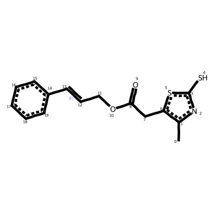 Cc1nc(S)sc1CC(=O)OC/C=C/c1ccccc1